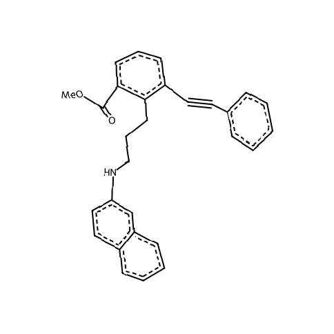 COC(=O)c1cccc(C#Cc2ccccc2)c1CCCNc1ccc2ccccc2c1